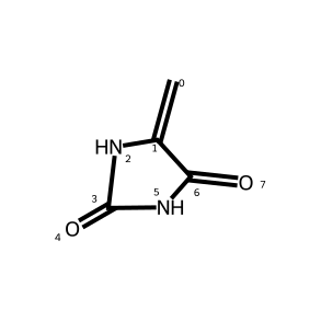 C=C1NC(=O)NC1=O